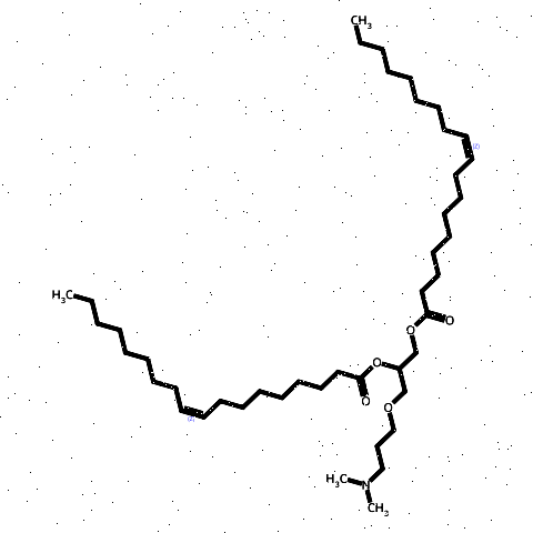 CCCCCCCC/C=C\CCCCCCCC(=O)OCC(COCCCN(C)C)OC(=O)CCCCCCC/C=C\CCCCCCCC